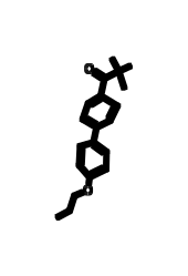 CCCOc1ccc(-c2ccc(C(=O)C(C)(C)C)cc2)cc1